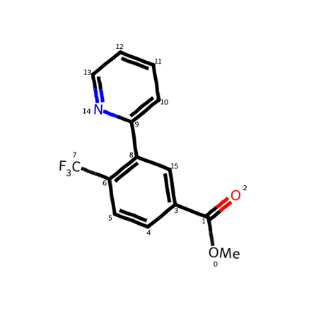 COC(=O)c1ccc(C(F)(F)F)c(-c2ccccn2)c1